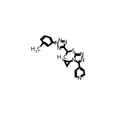 Cc1cccc(-n2nnc(C(C)Sc3nnc(-c4ccncc4)n3C3CC3)n2)c1